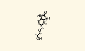 O=c1[nH]c2ccc(COCCO)cc2[nH]1